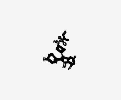 CCC(C)S(=O)(=O)N[C@H]1C[C@H](c2c(-c3ccc(F)cc3)[nH]c3c(F)cc(F)cc32)C1